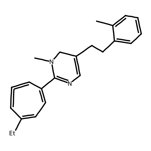 CCC1=CC=C(C2=NC=C(CCc3ccccc3C)CN2C)C=C=C1